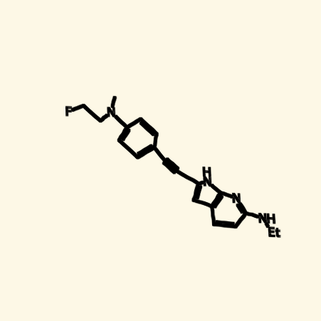 CCNc1ccc2cc(C#Cc3ccc(N(C)CCF)cc3)[nH]c2n1